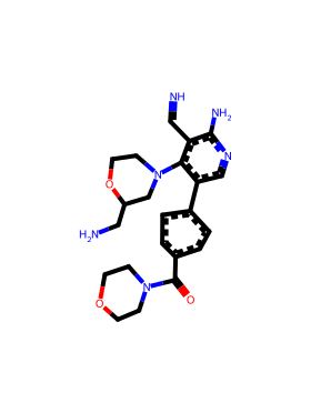 N=Cc1c(N)ncc(-c2ccc(C(=O)N3CCOCC3)cc2)c1N1CCOC(CN)C1